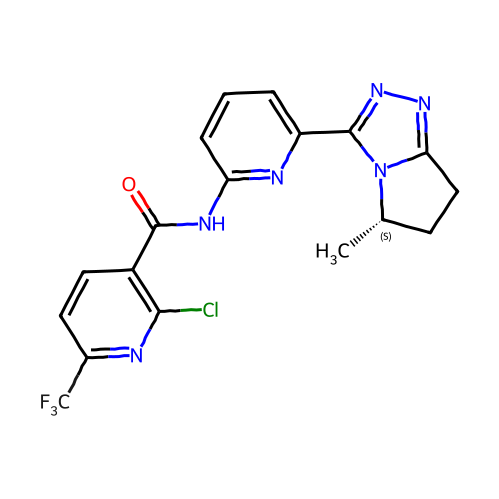 C[C@H]1CCc2nnc(-c3cccc(NC(=O)c4ccc(C(F)(F)F)nc4Cl)n3)n21